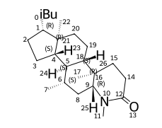 CCC(C)[C@H]1CC[C@H]2[C@@H]3[C@@H](C)C[C@H]4N(C)C(=O)CC[C@]4(C)[C@H]3CC[C@]12C